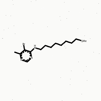 CSCCCCCCCCNc1ncnc(C)c1Br